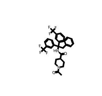 CC(=O)N1CCC(C(=O)NC(Cc2ccccc2)(c2cccc(C(F)(F)F)c2)c2cccc(C(F)(F)F)c2)CC1